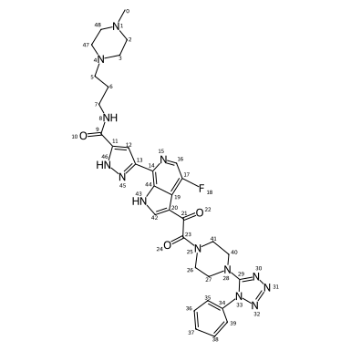 CN1CCN(CCCNC(=O)c2cc(-c3ncc(F)c4c(C(=O)C(=O)N5CCN(c6nnnn6-c6ccccc6)CC5)c[nH]c34)n[nH]2)CC1